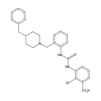 CCc1c(NC(=O)Nc2ccccc2CN2CCC(Cc3ccccc3)CC2)cccc1C(=O)O